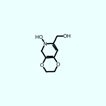 OCC1=CC2=C(CN1O)OCCO2